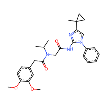 COc1ccc(CC(=O)N(CC(=O)Nc2nc(C3(C)CC3)cn2-c2ccccc2)C(C)C)cc1OC